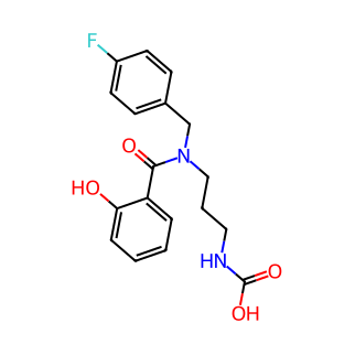 O=C(O)NCCCN(Cc1ccc(F)cc1)C(=O)c1ccccc1O